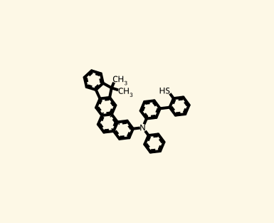 CC1(C)c2ccccc2-c2cc3ccc4ccc(N(c5ccccc5)c5cccc(-c6ccccc6S)c5)cc4c3cc21